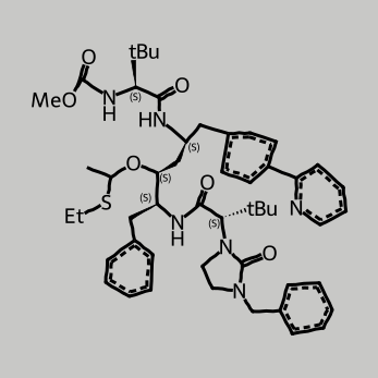 CCSC(C)O[C@@H](C[C@H](Cc1ccc(-c2ccccn2)cc1)NC(=O)[C@@H](NC(=O)OC)C(C)(C)C)[C@H](Cc1ccccc1)NC(=O)[C@@H](N1CCN(Cc2ccccc2)C1=O)C(C)(C)C